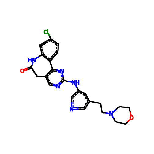 O=C1Cc2cnc(Nc3cncc(CCN4CCOCC4)c3)nc2-c2ccc(Cl)cc2N1